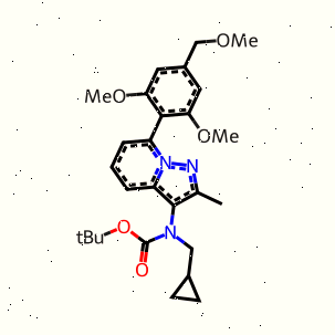 COCc1cc(OC)c(-c2cccc3c(N(CC4CC4)C(=O)OC(C)(C)C)c(C)nn23)c(OC)c1